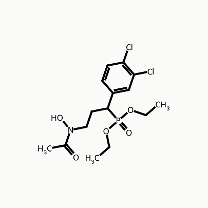 CCOP(=O)(OCC)C(CCN(O)C(C)=O)c1ccc(Cl)c(Cl)c1